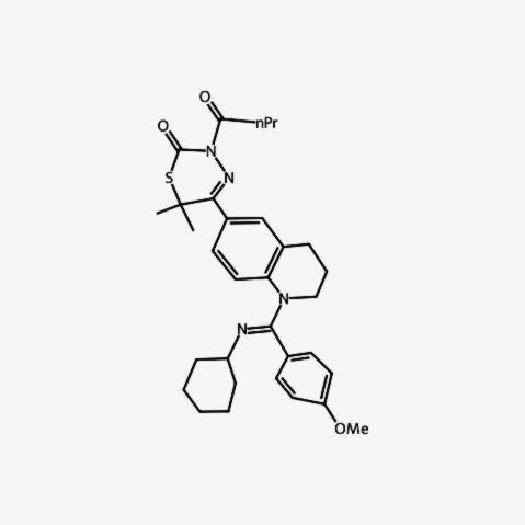 CCCC(=O)N1N=C(c2ccc3c(c2)CCCN3C(=NC2CCCCC2)c2ccc(OC)cc2)C(C)(C)SC1=O